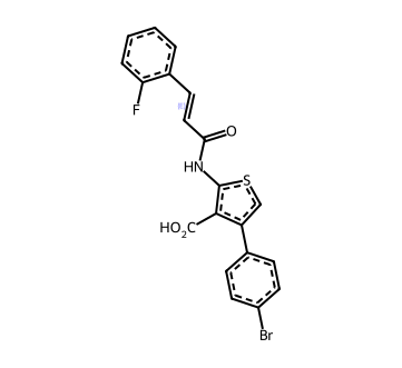 O=C(/C=C/c1ccccc1F)Nc1scc(-c2ccc(Br)cc2)c1C(=O)O